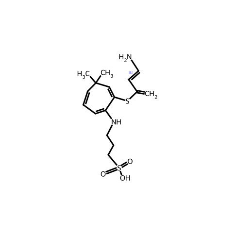 C=C(/C=C/N)SC1=CC(C)(C)C=CC=C1NCCCS(=O)(=O)O